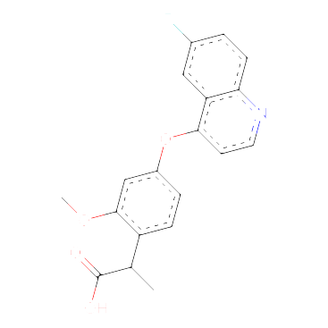 COc1cc(Oc2ccnc3ccc(F)cc23)ccc1C(C)C(=O)O